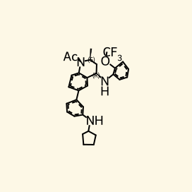 CC(=O)N1c2ccc(-c3cccc(NC4CCCC4)c3)cc2[C@H](Nc2ccccc2OC(F)(F)F)C[C@@H]1C